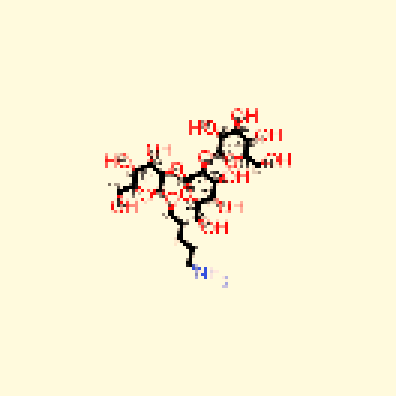 NCCCCCO[C@H]1OC(CO)[C@@H](O)C(O)C1O[C@H]1OC(CO)[C@@H](O)C(O)C1O[C@@H]1OC(CO)[C@@H](O)C(O)C1O